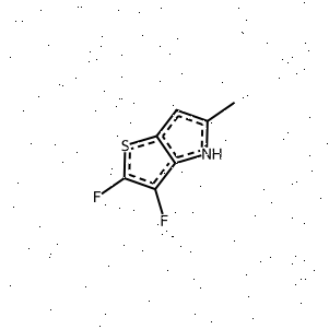 Cc1cc2sc(F)c(F)c2[nH]1